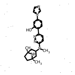 CN(c1ccc(-c2ccc(-n3ccnc3)cc2O)nn1)C1C[C@]2(C)CC[C@](C)(C1)N2